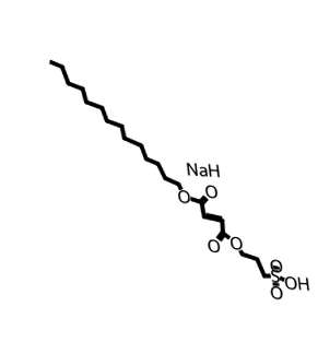 CCCCCCCCCCCCCCOC(=O)C=CC(=O)OCCCS(=O)(=O)O.[NaH]